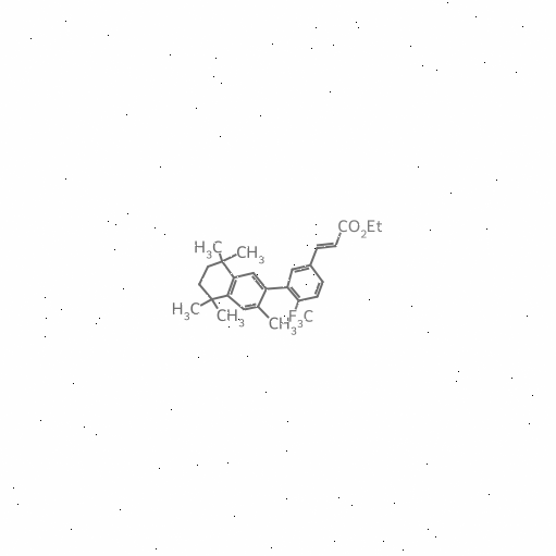 CCOC(=O)/C=C/c1ccc(C(F)(F)F)c(-c2cc3c(cc2C)C(C)(C)CCC3(C)C)c1